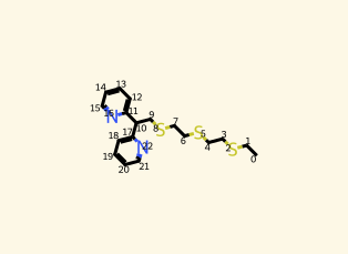 CCSCCSCCSCC(c1ccccn1)c1ccccn1